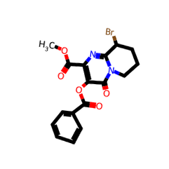 COC(=O)c1nc2n(c(=O)c1OC(=O)c1ccccc1)CCCC2Br